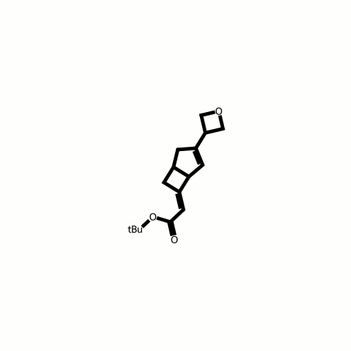 CC(C)(C)OC(=O)C=C1CC2CC(C3COC3)=CC12